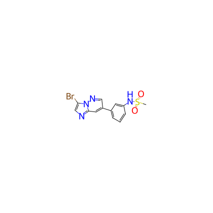 CS(=O)(=O)Nc1cccc(-c2cnn3c(Br)cnc3c2)c1